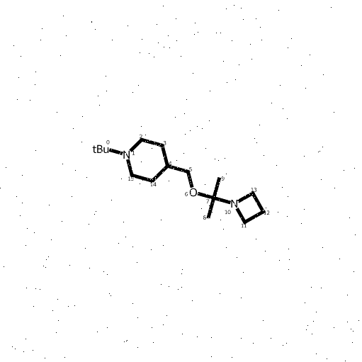 CC(C)(C)N1CCC(COC(C)(C)N2CCC2)CC1